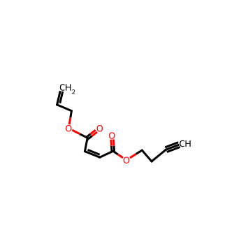 C#CCCOC(=O)/C=C\C(=O)OCC=C